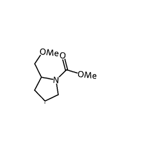 COCC1C[CH]CN1C(=O)OC